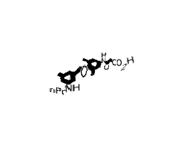 CCCNc1cc(C)cc(COc2c(C)cc(NC(=O)CC(=O)O)cc2C)c1